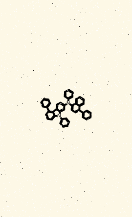 c1ccc(-c2ccc(N(c3ccccc3)c3ccc4c5c(-c6ccccc6)cccc5n(-c5ccccc5)c4c3)c3ccccc23)cc1